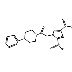 O=C(Cn1cc([N+](=O)[O-])nc1[N+](=O)[O-])N1CCN(c2ccccc2)CC1